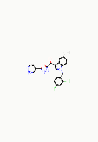 Cc1ccc2c(c1)c(C(=O)c1nnc(-c3ccnnc3)o1)cn2Cc1ccc(Cl)cc1Cl